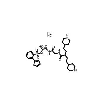 Cl.Cl.O=C(CNC(=O)C(CCC1CCNCC1)CCC1CCNCC1)NCC(NS(=O)(=O)c1ccccc1-c1cccs1)C(=O)O